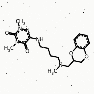 CN(CCCCNc1nn(C)c(=O)n(C)c1=O)CC1COc2ccccc2O1